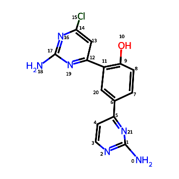 Nc1nccc(-c2ccc(O)c(-c3cc(Cl)nc(N)n3)c2)n1